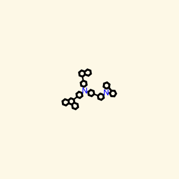 c1cc(-c2ccc(N(c3ccc(-c4cccc5ccccc45)cc3)c3ccc(-c4cc5ccccc5c5ccccc45)cc3)cc2)cc(-n2c3ccccc3c3ccccc32)c1